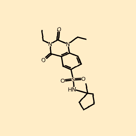 CCn1c(=O)c2cc(S(=O)(=O)NC3(C)CCCC3)ccc2n(CC)c1=O